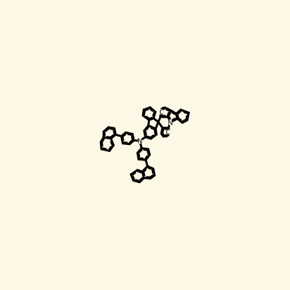 c1ccc2c(c1)-c1cc(N(c3ccc(-c4cccc5ccccc45)cc3)c3ccc(-c4cccc5ccccc45)cc3)ccc1C21c2ccccc2-n2c3ccccc3c3cccc1c32